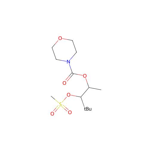 CC(OC(=O)N1CCOCC1)C(OS(C)(=O)=O)C(C)(C)C